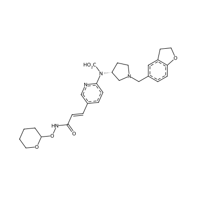 O=C(/C=C/c1ccc(N(C(=O)O)[C@@H]2CCN(Cc3ccc4c(c3)CCO4)C2)nc1)NOC1CCCCO1